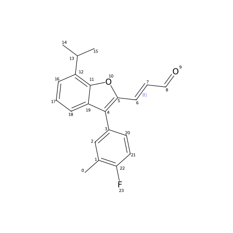 Cc1cc(-c2c(/C=C/C=O)oc3c(C(C)C)cccc23)ccc1F